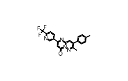 Cc1ccc(-c2cc3nc(-c4ccc(C(F)(F)F)nc4)cc(=O)n3nc2C)cc1